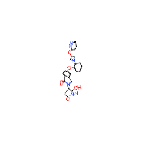 O=C1CCC(N2Cc3cc(O[C@H]4CCCC[C@H]4N4CC(Oc5cccnn5)C4)ccc3C2=O)C(O)N1